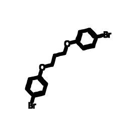 Brc1ccc(OCCCOc2ccc(Br)cc2)cc1